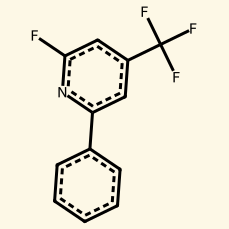 Fc1cc(C(F)(F)F)cc(-c2ccccc2)n1